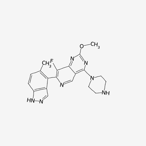 COc1nc(N2CCNCC2)c2cnc(-c3c(C)ccc4[nH]ncc34)c(F)c2n1